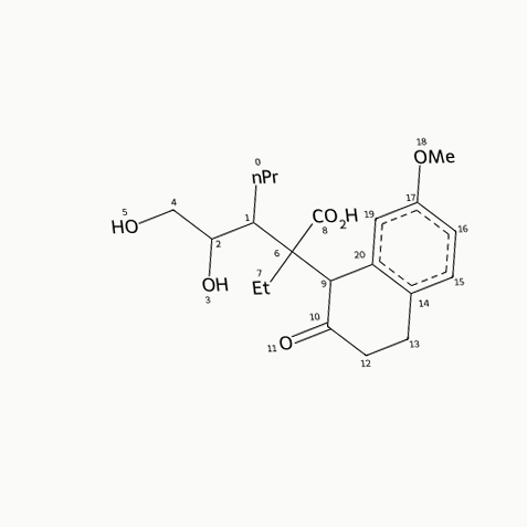 CCCC(C(O)CO)C(CC)(C(=O)O)C1C(=O)CCc2ccc(OC)cc21